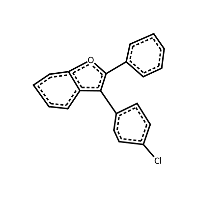 Clc1ccc(-c2c(-c3ccccc3)oc3ccccc23)cc1